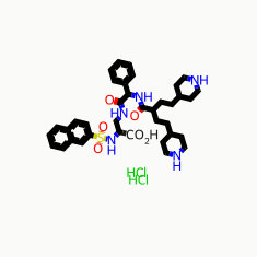 Cl.Cl.O=C(NC(C(=O)NCC(NS(=O)(=O)c1ccc2ccccc2c1)C(=O)O)c1ccccc1)C(CCC1CCNCC1)CCC1CCNCC1